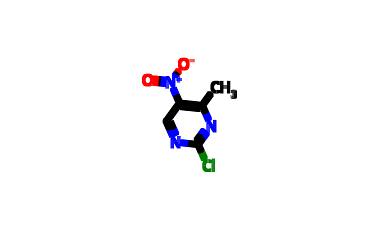 Cc1nc(Cl)ncc1[N+](=O)[O-]